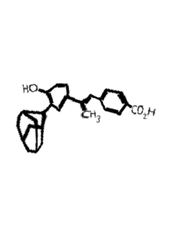 C/C(=C\c1ccc(C(=O)O)cc1)c1ccc(O)c(C2C3CC4CC(C3)CC2C4)c1